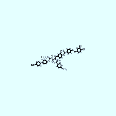 N#Cc1ccc(-c2ccc(CC(NC(=O)[C@@H]3Cc4cc5c(cc4CN3Cc3ccc(N)nc3)O[C@@H](c3ccc(OCc4ccc(Cl)c(Cl)c4)cc3)CO5)C(=O)O)cc2)cc1